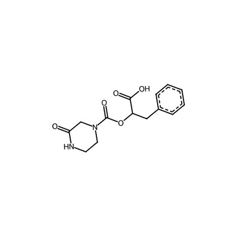 O=C1CN(C(=O)OC(Cc2ccccc2)C(=O)O)CCN1